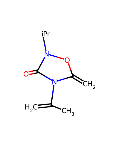 C=C(C)N1C(=C)ON(C(C)C)C1=O